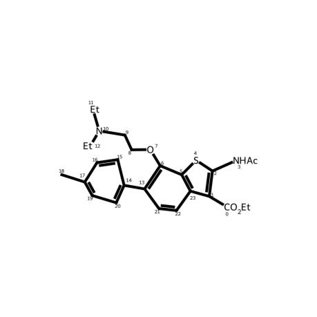 CCOC(=O)c1c(NC(C)=O)sc2c(OCCN(CC)CC)c(-c3ccc(C)cc3)ccc12